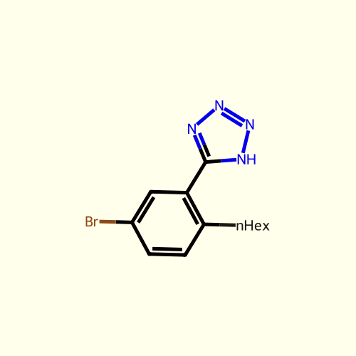 CCCCCCc1ccc(Br)cc1-c1nnn[nH]1